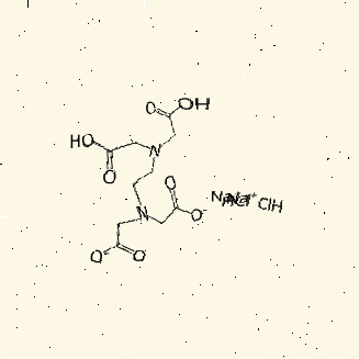 Cl.Cl.O=C([O-])CN(CCN(CC(=O)O)CC(=O)O)CC(=O)[O-].[Na+].[Na+]